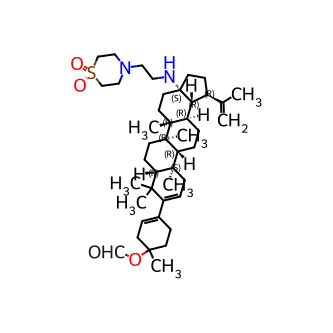 C=C(C)[C@@H]1CC[C@]2(NCCN3CCS(=O)(=O)CC3)CC[C@]3(C)[C@H](CC[C@@H]4[C@@]5(C)CC=C(C6=CCC(C)(OC=O)CC6)C(C)(C)[C@@H]5CC[C@]43C)[C@@H]12